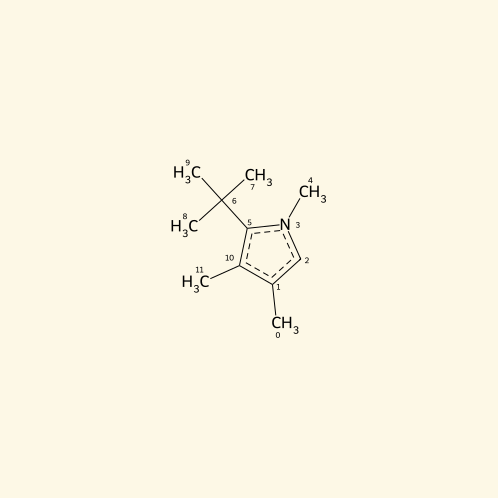 Cc1cn(C)c(C(C)(C)C)c1C